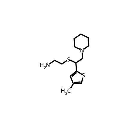 Cc1csc(C(CN2CCCCC2)SCCN)c1